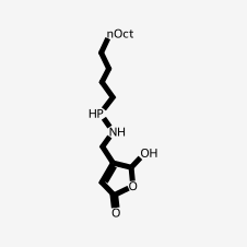 CCCCCCCCCCCCPNCC1=CC(=O)OC1O